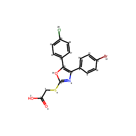 O=C(O)CSc1nc(-c2ccc(Br)cc2)c(-c2ccc(Cl)cc2)o1